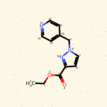 CCOC(=O)c1ccn(Cc2ccncc2)n1